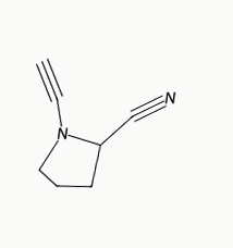 C#CN1CCCC1C#N